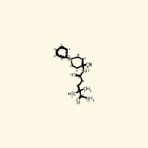 CC(C)(C[CH]C(=O)NC1(C#N)CCN(c2ccccc2)CC1)C(N)=O